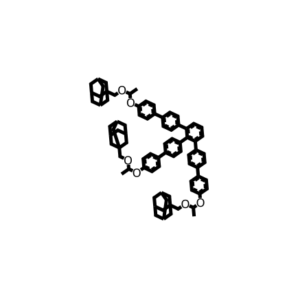 CC(OCC12CC3CC(CC(C3)C1)C2)Oc1ccc(-c2ccc(-c3cccc(-c4ccc(-c5ccc(OC(C)OCC67CC8CC(CC(C8)C6)C7)cc5)cc4)c3-c3ccc(-c4ccc(OC(C)OCC56CC7CC(CC(C7)C5)C6)cc4)cc3)cc2)cc1